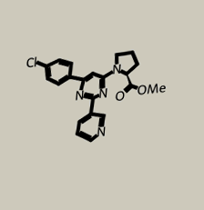 COC(=O)[C@@H]1CCCN1c1cc(-c2ccc(Cl)cc2)nc(-c2cccnc2)n1